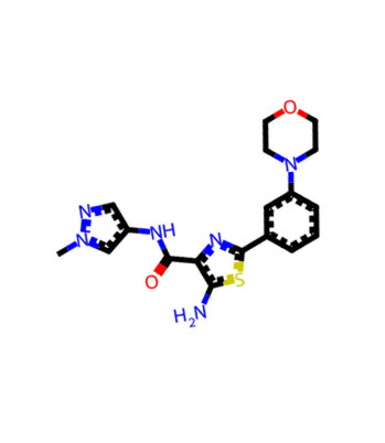 Cn1cc(NC(=O)c2nc(-c3cccc(N4CCOCC4)c3)sc2N)cn1